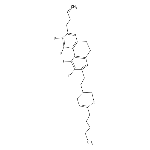 C=CCCc1cc2c(c(F)c1F)-c1c(cc(CCC3CC=C(CCCCC)OC3)c(F)c1F)CC2